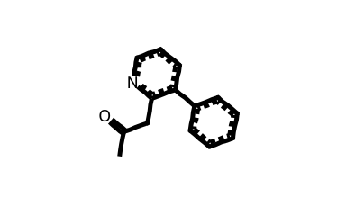 CC(=O)Cc1ncccc1-c1ccccc1